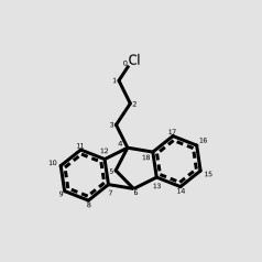 ClCCCC12CC(c3ccccc31)c1ccccc12